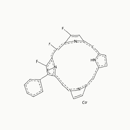 FC1=Cc2cc3ccc(cc4nc(cc5c(-c6ccccc6)c(F)c(c(F)c1n2)n5F)C=C4)[nH]3.[Co]